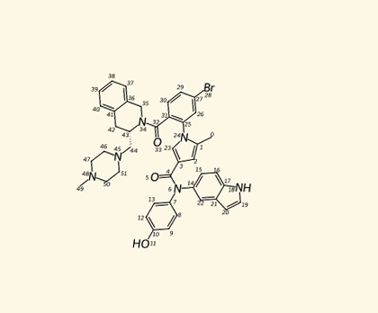 Cc1cc(C(=O)N(c2ccc(O)cc2)c2ccc3[nH]ccc3c2)cn1-c1cc(Br)ccc1C(=O)N1Cc2ccccc2C[C@H]1CN1CCN(C)CC1